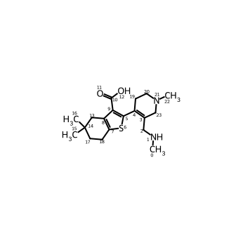 CNCC1=C(c2sc3c(c2C(=O)O)CC(C)(C)CC3)CCN(C)C1